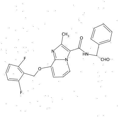 Cc1nc2c(OCc3c(F)cccc3F)cccn2c1C(=O)N[C@@H](C=O)c1ccccc1